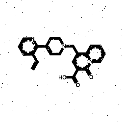 C=Cc1cccnc1C1=CCN(Cc2cc(C(=O)O)c(=O)n3ccccc23)CC1